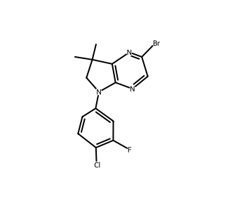 CC1(C)CN(c2ccc(Cl)c(F)c2)c2ncc(Br)nc21